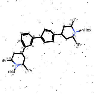 CCCCCCN1C(C(C)C)CC(c2ccc(-c3cccc(C4CC(C(C)C)N(CCCC)C(C(C)C)C4)c3)cc2)CC1C(C)C